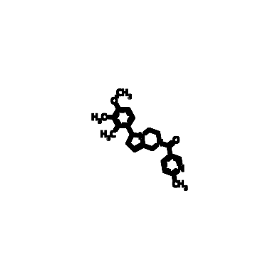 COc1ccc(C2CC=C3CN(C(=O)c4ccc(C)nc4)CCN32)c(C)c1C